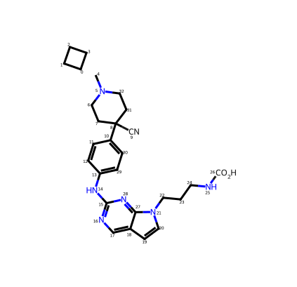 C1CCC1.CN1CCC(C#N)(c2ccc(Nc3ncc4ccn(CCCNC(=O)O)c4n3)cc2)CC1